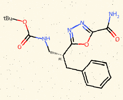 CC(C)(C)OC(=O)NC[C@@H](Cc1ccccc1)c1nnc(C(N)=O)o1